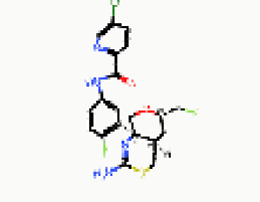 NC1=N[C@@]2(c3cc(NC(=O)c4ccc(Cl)cn4)ccc3F)CO[C@@H](CF)C[C@H]2CS1